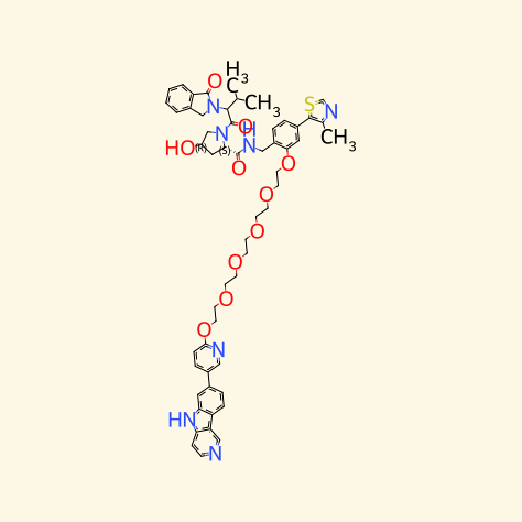 Cc1ncsc1-c1ccc(CNC(=O)[C@@H]2C[C@@H](O)CN2C(=O)C(C(C)C)N2Cc3ccccc3C2=O)c(OCCOCCOCCOCCOCCOc2ccc(-c3ccc4c(c3)[nH]c3ccncc34)cn2)c1